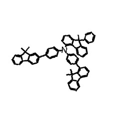 CC1(C)c2ccccc2-c2ccc(-c3ccc(N(c4ccc(-c5cccc6c5C(C)(C)c5ccccc5-6)cc4)c4cccc5c4-c4ccccc4C5(C)c4ccccc4)cc3)cc21